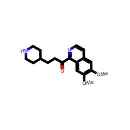 COc1cc2ccnc(C(=O)CCC3CCNCC3)c2cc1OC